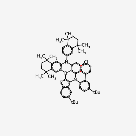 CC(C)(C)c1ccc(N2c3cc(Cl)cc4c3B(c3cc5c(cc3N4c3ccc4c(c3)C(C)(C)CCC4(C)C)C(C)(C)CCC5(C)C)c3sc4ccc(C(C)(C)C)cc4c32)c(-c2ccccc2)c1